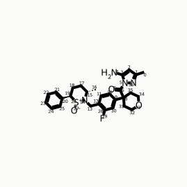 Cc1cc(N)n(C(=O)C2(c3ccc(CN4[C@@H](C)CC[C@H](c5ccccc5)[S+]4[O-])c(F)c3)CCOCC2)n1